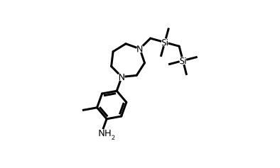 Cc1cc(N2CCCN(C[Si](C)(C)C[Si](C)(C)C)CC2)ccc1N